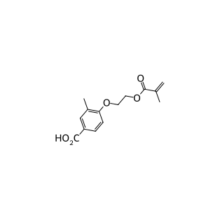 C=C(C)C(=O)OCCOc1ccc(C(=O)O)cc1C